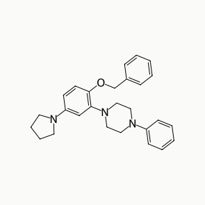 c1ccc(COc2ccc(N3CCCC3)cc2N2CCN(c3ccccc3)CC2)cc1